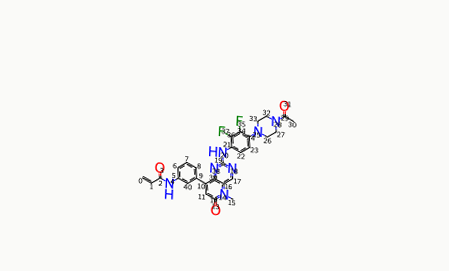 C=CC(=O)Nc1cccc(-c2cc(=O)n(C)c3cnc(Nc4ccc(N5CCN(C(C)=O)CC5)c(F)c4F)nc23)c1